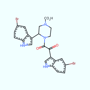 O=C(C(=O)N1CCN(C(=O)O)CC1c1c[nH]c2ccc(Br)cc12)c1c[nH]c2ccc(Br)cc12